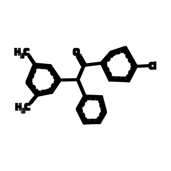 Cc1cc(C)cc(C(C(=O)c2ccc(Cl)cc2)c2ccccc2)c1